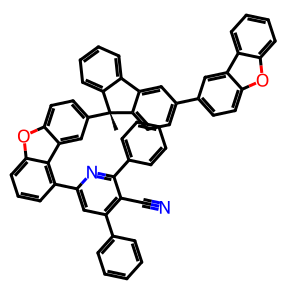 C[C@@]1(c2ccc3oc4cccc(-c5cc(-c6ccccc6)c(C#N)c(-c6ccccc6)n5)c4c3c2)c2ccccc2-c2cc(-c3ccc4oc5ccccc5c4c3)ccc21